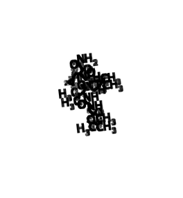 CC(C)[C@H](NC(=O)NCC(=O)OC(C)(C)C)C(=O)N1C[C@H]2[C@@H]([C@H]1C(=O)NC(CC1CC1)C(=O)C(N)=O)C2(C)C